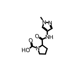 Cn1cc(NC(=O)C2CCCN2C(=O)O)cn1